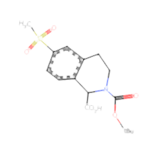 CC(C)(C)OC(=O)N1CCc2cc(S(C)(=O)=O)ccc2C1C(=O)O